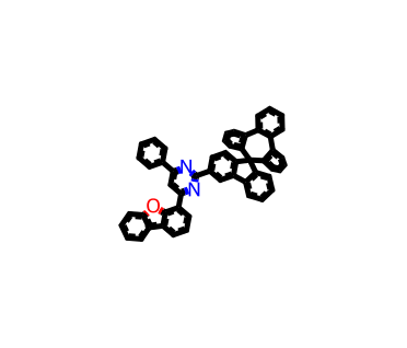 c1ccc(-c2cc(-c3cccc4c3oc3ccccc34)nc(-c3ccc4c(c3)-c3ccccc3C43c4ccccc4-c4ccccc4-c4ccccc43)n2)cc1